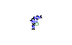 CC(CC(C)(C)N1CCN(C(C)C)CC1)NCC1(CCl)CN(C(C)C)C1